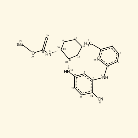 Cc1cccc(Nc2cc(N[C@H]3CCCC[C@H]3NC(=O)OC(C)(C)C)ccc2C#N)n1